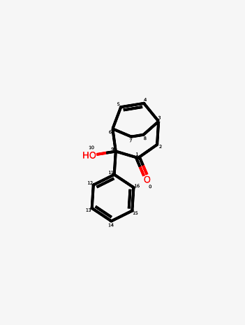 O=C1CC2C=CC(CC2)C1(O)c1ccccc1